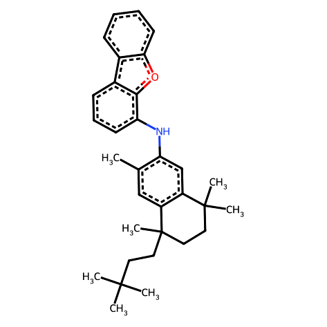 Cc1cc2c(cc1Nc1cccc3c1oc1ccccc13)C(C)(C)CCC2(C)CCC(C)(C)C